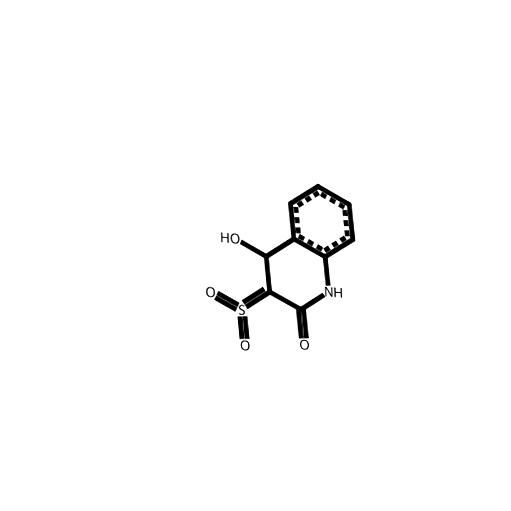 O=C1Nc2ccccc2C(O)C1=S(=O)=O